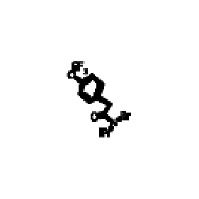 CC(C)N(Br)C(=O)Cc1ccc(OC(F)(F)F)cc1